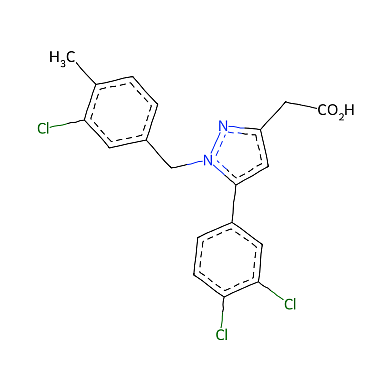 Cc1ccc(Cn2nc(CC(=O)O)cc2-c2ccc(Cl)c(Cl)c2)cc1Cl